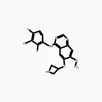 COc1cc2ncnc(Nc3ccc(F)c(Cl)c3F)c2cc1OC1CNC1